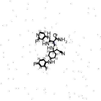 N#CCC1(N/C=C(\C(=N)Nc2ccnc(F)c2)C(N)=O)CCC(Nc2ccc(F)cc2F)CC1